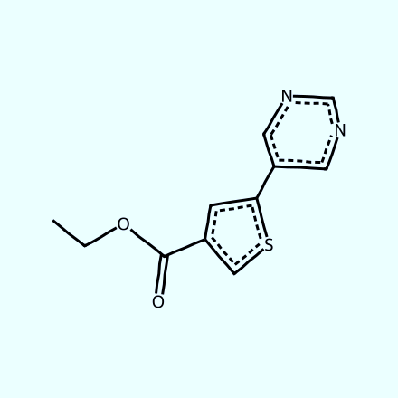 CCOC(=O)c1csc(-c2cncnc2)c1